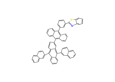 c1cc(-c2nc3ccccc3s2)cc(-c2c3ccccc3c(-c3ccc4c(-c5ccc6ccccc6c5)c5ccccc5c(-c5ccc6ccccc6c5)c4c3)c3ccccc23)c1